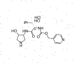 CC(C)C[C@H](NC(=O)OCc1ccncc1)C(=O)NC1CNCC1O.Cl.Cl